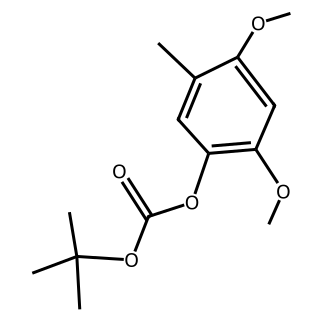 COc1cc(OC)c(OC(=O)OC(C)(C)C)cc1C